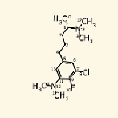 C[C@@H](CCCc1cc(Cl)c(F)c(N(C)C)c1)N(C)C